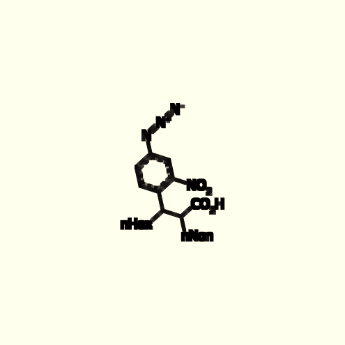 CCCCCCCCCC(C(=O)O)C(CCCCCC)c1ccc(N=[N+]=[N-])cc1[N+](=O)[O-]